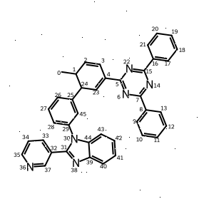 CC1C=CC(c2nc(-c3ccccc3)nc(-c3ccccc3)n2)=CC1c1cccc(-n2c(-c3cccnc3)nc3ccccc32)c1